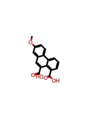 COc1ccc2c(c1)cc(C(=O)O)c1c(C(=O)O)cccc12